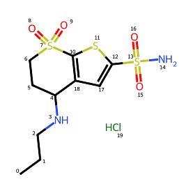 CCCNC1CCS(=O)(=O)c2sc(S(N)(=O)=O)cc21.Cl